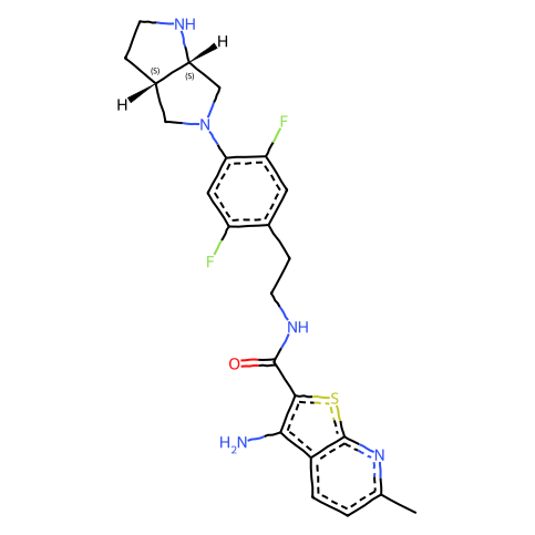 Cc1ccc2c(N)c(C(=O)NCCc3cc(F)c(N4C[C@@H]5CCN[C@@H]5C4)cc3F)sc2n1